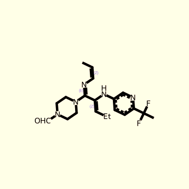 C\C=C/N=C(\C(=C\CC)Nc1ccc(C(C)(F)F)nc1)N1CCN(C=O)CC1